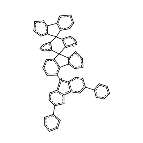 c1ccc(-c2ccc3c(c2)c2cc(-c4ccccc4)ccc2n3-c2cccc3c2-c2ccccc2C32c3ccccc3C3(c4ccccc4-c4ccccc43)c3ccccc32)cc1